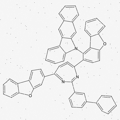 C1=CC(c2ccc3c(c2)oc2ccccc23)=NC(c2cccc(-c3ccccc3)c2)=NC=1c1ccc2oc3ccccc3c2c1-n1c2ccccc2c2cc3ccccc3cc21